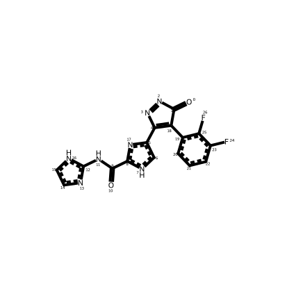 O=C1N=NC(c2c[nH]c(C(=O)Nc3ncc[nH]3)n2)=C1c1cccc(F)c1F